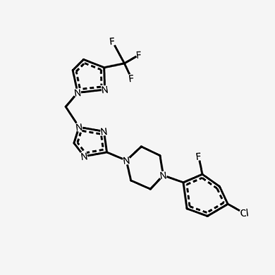 Fc1cc(Cl)ccc1N1CCN(c2ncn(Cn3ccc(C(F)(F)F)n3)n2)CC1